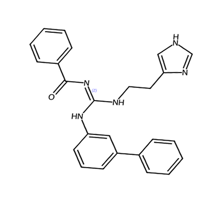 O=C(/N=C(/NCCc1c[nH]cn1)Nc1cccc(-c2ccccc2)c1)c1ccccc1